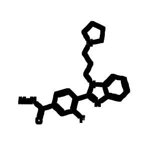 CNC(=O)c1ccc(-c2nc3ccccc3n2CCCN2CCCC2)c(F)c1